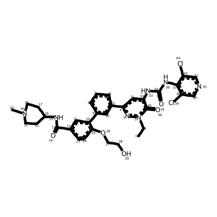 CCn1nc(-c2cccc(-c3cc(C(=O)NC4CCN(C)CC4)ccc3OCCO)c2)cc(NC(=O)Nc2c(Cl)cncc2Cl)c1=O